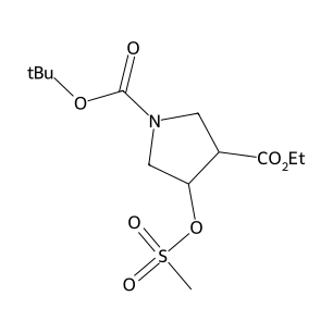 CCOC(=O)C1CN(C(=O)OC(C)(C)C)CC1OS(C)(=O)=O